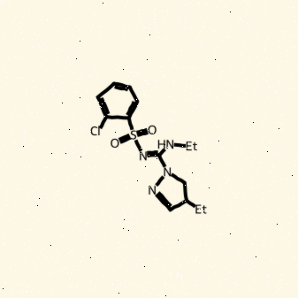 CCN/C(=N\S(=O)(=O)c1ccccc1Cl)N1CC(CC)C=N1